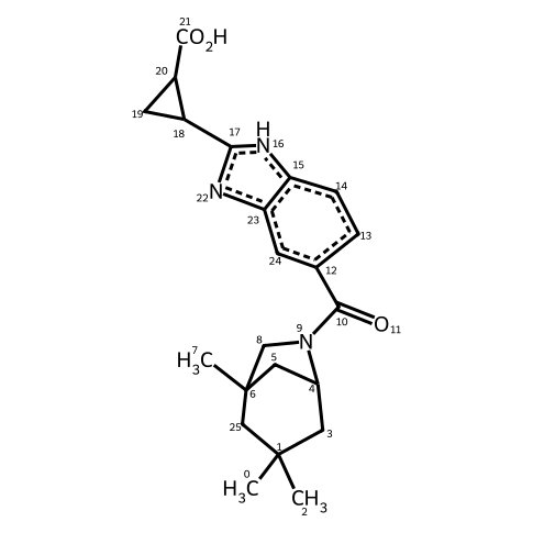 CC1(C)CC2CC(C)(CN2C(=O)c2ccc3[nH]c(C4CC4C(=O)O)nc3c2)C1